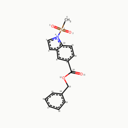 CS(=O)(=O)n1ccc2cc(C(=O)OCc3ccccc3)ccc21